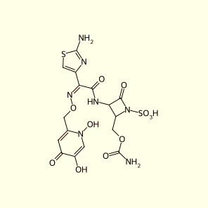 NC(=O)OCC1C(NC(=O)/C(=N\OCc2cc(=O)c(O)cn2O)c2csc(N)n2)C(=O)N1S(=O)(=O)O